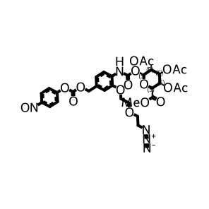 COC(=O)[C@H]1O[C@@H](OC(=O)Nc2ccc(COC(=O)Oc3ccc(N=O)cc3)cc2OCCOCCN=[N+]=[N-])[C@H](OC(C)=O)[C@@H](OC(C)=O)[C@@H]1OC(C)=O